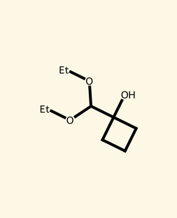 CCOC(OCC)C1(O)CCC1